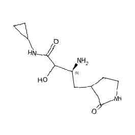 N[C@@H](CC1CCNC1=O)C(O)C(=O)NC1CC1